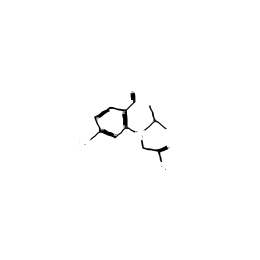 CC(C)N(CC(N)=O)c1cc(Br)ccc1C=O